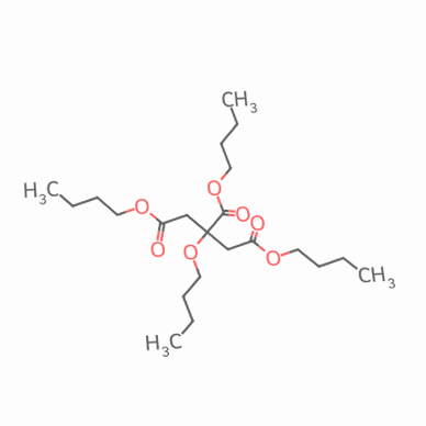 CCCCOC(=O)CC(CC(=O)OCCCC)(OCCCC)C(=O)OCCCC